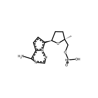 C[C@@]1(CO[PH](=O)O)CC[C@H](c2ccc3c(N)ncnn23)O1